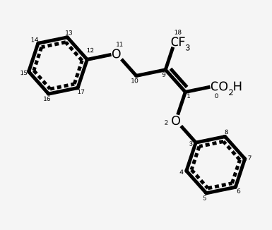 O=C(O)/C(Oc1ccccc1)=C(/COc1ccccc1)C(F)(F)F